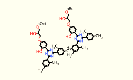 CCCCCCCCOCC(O)COc1ccc(-c2nc(-c3ccc(C)cc3C)nc(-c3ccc(C)cc3C)n2)c(O)c1.CCCCOCC(O)COc1ccc(-c2nc(-c3ccc(C)cc3C)nc(-c3ccc(C)cc3C)n2)c(O)c1